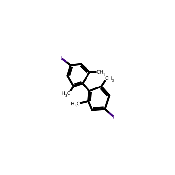 Cc1cc(I)cc(C)c1-c1c(C)cc(I)cc1C